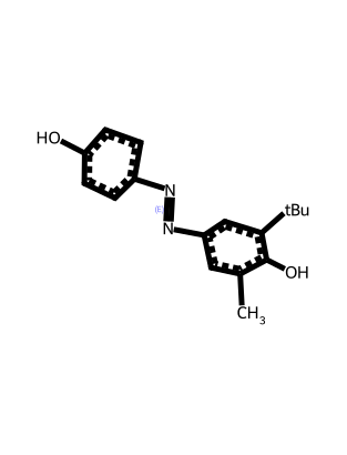 Cc1cc(/N=N/c2ccc(O)cc2)cc(C(C)(C)C)c1O